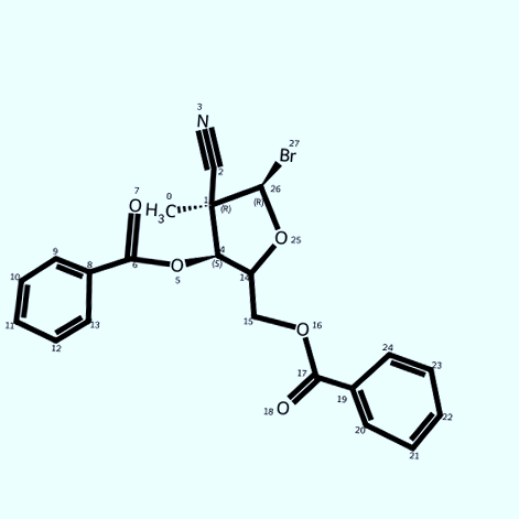 C[C@@]1(C#N)[C@H](OC(=O)c2ccccc2)C(COC(=O)c2ccccc2)O[C@@H]1Br